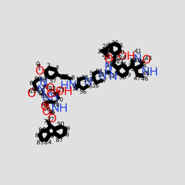 COc1ccc(C#CCNC2(C)CCN(C3CCN(c4nc([C@@](CO)(OC5CC5)c5ccccc5)c5cc(-c6cn(C)c(=O)c7[nH]ccc67)ccc5n4)CC3)CC2)cc1N1CCC(=O)N(CNC(=O)[C@H](CC(=O)O)NC(=O)OCC2c3ccccc3-c3ccccc32)C1=O